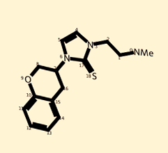 CNCCn1ccn(C2COc3ccccc3C2)c1=S